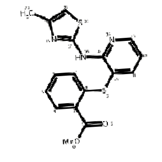 COC(=O)c1ccccc1Sc1cccnc1Nc1nc(C)cs1